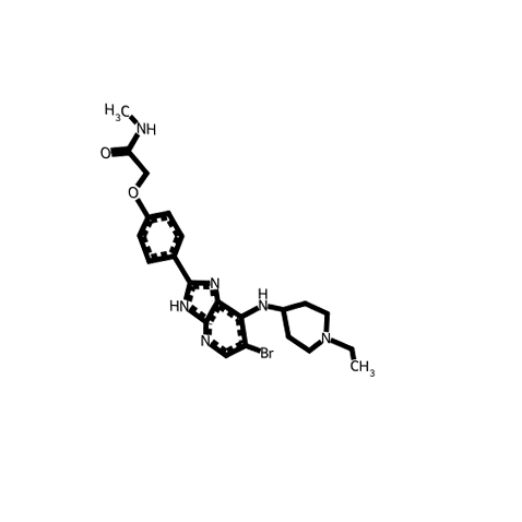 CCN1CCC(Nc2c(Br)cnc3[nH]c(-c4ccc(OCC(=O)NC)cc4)nc23)CC1